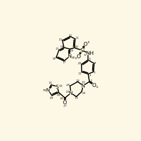 O=C(c1ccc(NS(=O)(=O)c2cccc3cccnc23)cc1)N1CCN(C(=O)c2cncs2)CC1